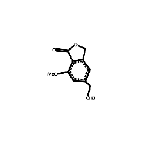 COc1cc(CC=O)cc2c1C(=O)OC2